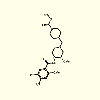 CCCOC(=O)N1CCC(CN2CC[C@@H](NC(=O)c3cc(Cl)c(N)cc3OC)[C@@H](OC)C2)CC1